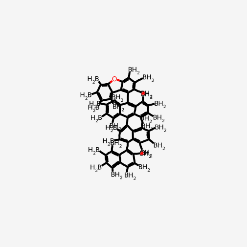 Bc1c(B)c(B)c2c(oc3c(B)c(B)c(B)c(-c4c5c(B)c(B)c(B)c(B)c5c(-c5c(B)c(B)c(-c6c(B)c(B)c(B)c7c(B)c(B)c(B)c(B)c67)c6c(B)c(B)c(B)c(B)c56)c5c(B)c(B)c(B)c(B)c45)c32)c1B